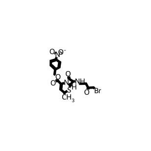 CC1C=C(C(=O)OCc2ccc([N+](=O)[O-])cc2)N2C(=O)C(NCCC(=O)CBr)[C@@H]2S1